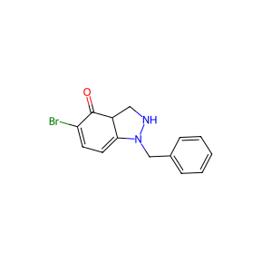 O=C1C(Br)=CC=C2C1CNN2Cc1ccccc1